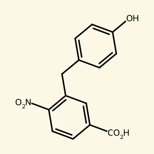 O=C(O)c1ccc([N+](=O)[O-])c(Cc2ccc(O)cc2)c1